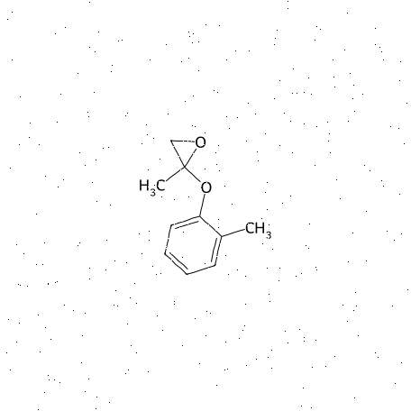 Cc1ccccc1OC1(C)CO1